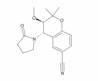 CO[C@@H]1[C@@H](N2CCCC2=O)c2cc(C#N)ccc2OC1(C)C